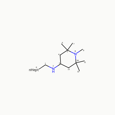 CCCCCCCCNC1CC(C)(C)N(C)C(C)(C)C1